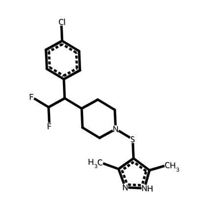 Cc1n[nH]c(C)c1SN1CCC(C(c2ccc(Cl)cc2)C(F)F)CC1